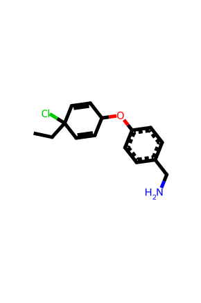 CCC1(Cl)C=CC(Oc2ccc(CN)cc2)C=C1